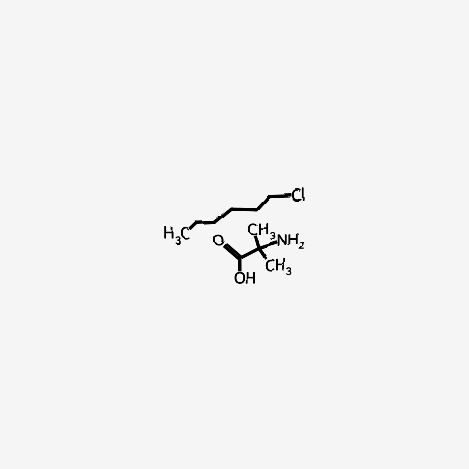 CC(C)(N)C(=O)O.CCCCCCCl